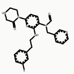 O=CN(Cc1cccnc1)c1ccc(N2CCNCC2=O)nc1NCCc1cccc(F)c1